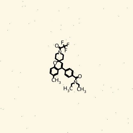 CCN(CC)C(=O)c1ccc(C2=CC3(CCN(C(=O)C(F)(F)F)CC3)Oc3ccc(C)cc32)cc1